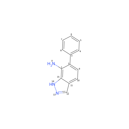 Nc1c(-c2ccccc2)ccc2[c]n[nH]c12